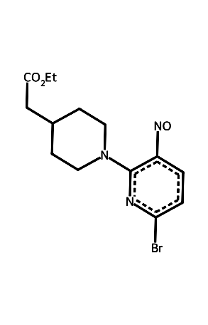 CCOC(=O)CC1CCN(c2nc(Br)ccc2N=O)CC1